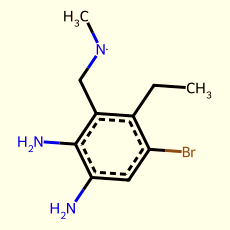 CCc1c(Br)cc(N)c(N)c1C[N]C